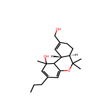 CCCC1=CC(C)(O)C2C(=C1)OC(C)(C)[C@@H]1CCC(CO)=C[C@@H]21